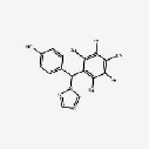 [2H]c1c([2H])c(C(c2ccc(C#N)cc2)n2cncn2)c([2H])c([2H])c1C#N